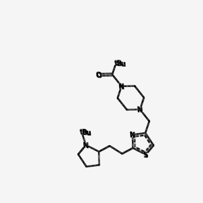 CC(C)(C)C(=O)N1CCN(Cc2csc(CCC3CCCN3C(C)(C)C)n2)CC1